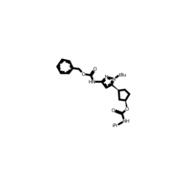 CC(C)NC(=O)O[C@@H]1CC[C@H](c2cc(NC(=O)OCc3ccccc3)nn2C(C)(C)C)C1